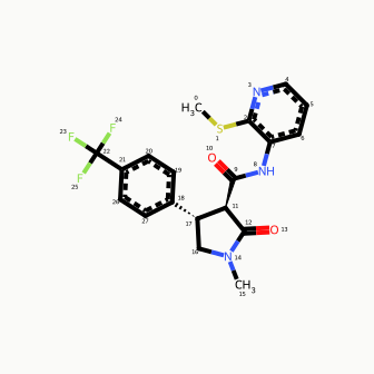 CSc1ncccc1NC(=O)[C@H]1C(=O)N(C)C[C@@H]1c1ccc(C(F)(F)F)cc1